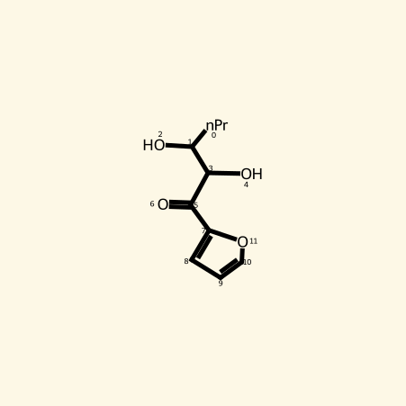 CCCC(O)C(O)C(=O)c1ccco1